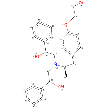 C[C@H](Cc1ccc(OCCO)cc1)N(C[C@H](O)c1ccccc1)C[C@H](O)c1ccccc1